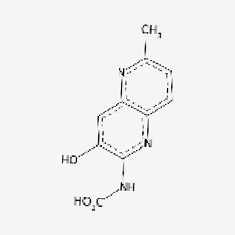 Cc1ccc2nc(NC(=O)O)c(O)cc2n1